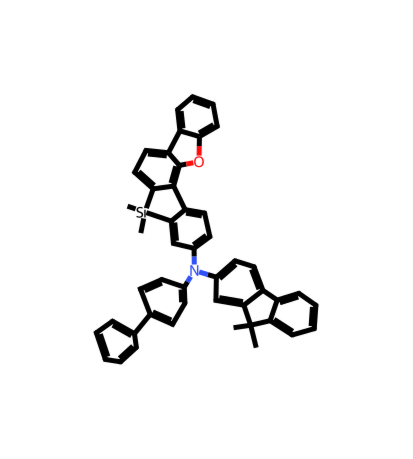 CC1(C)c2ccccc2-c2ccc(N(c3ccc(-c4ccccc4)cc3)c3ccc4c(c3)[Si](C)(C)c3ccc5c(oc6ccccc65)c3-4)cc21